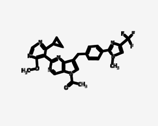 COc1ncnc(C2CC2)c1-c1ncc2c(n1)c(Cc1ccc(-c3nc(C(F)(F)F)cn3C)cc1)cn2C(C)=O